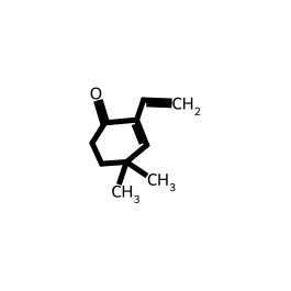 C=CC1=CC(C)(C)CCC1=O